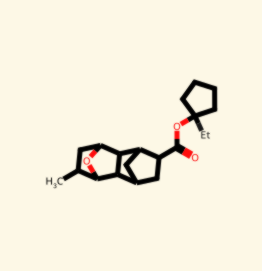 CCC1(OC(=O)C2CC3CC2C2C4CC(C)C(O4)C32)CCCC1